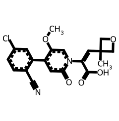 COc1cn(C(=CC2(C)COC2)C(=O)O)c(=O)cc1-c1cc(Cl)ccc1C#N